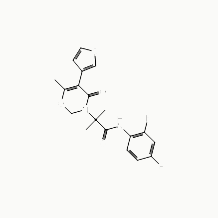 CC1=C(c2ccsc2)C(=O)N(C(C)(C)C(=O)Nc2ccc(F)cc2F)CO1